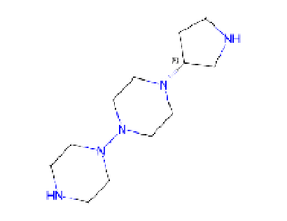 C1CN(N2CCN([C@@H]3CCNC3)CC2)CCN1